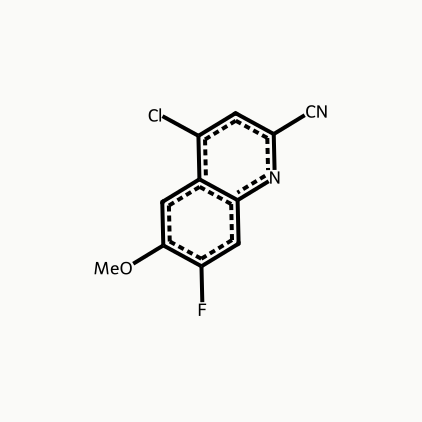 COc1cc2c(Cl)cc(C#N)nc2cc1F